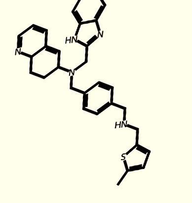 Cc1ccc(CNCc2ccc(CN(Cc3nc4ccccc4[nH]3)C3C=C4C=CC=NC4CC3)cc2)s1